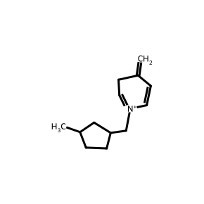 C=C1C=C[N+](CC2CCC(C)C2)=CC1